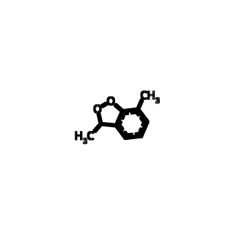 Cc1cccc2c1OOC2C